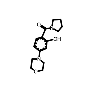 O=C(c1ccc(N2CCOCC2)cc1O)N1CCCC1